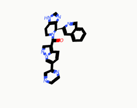 O=C(c1cnn2cc(-c3cnccn3)ccc12)N1CCc2[nH]cnc2[C@H]1c1cc2ccccc2cn1